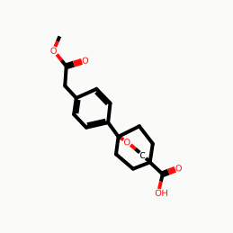 COC(=O)Cc1ccc(C23CCC(C(=O)O)(CC2)CO3)cc1